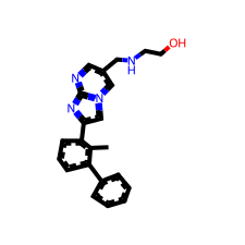 Cc1c(-c2ccccc2)cccc1-c1cn2cc(CNCCO)cnc2n1